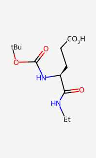 CCNC(=O)[C@H](CCC(=O)O)NC(=O)OC(C)(C)C